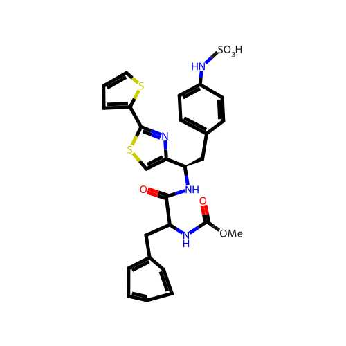 COC(=O)NC(Cc1ccccc1)C(=O)N[C@H](Cc1ccc(NS(=O)(=O)O)cc1)c1csc(-c2cccs2)n1